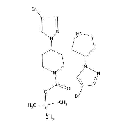 Brc1cnn(C2CCNCC2)c1.CC(C)(C)OC(=O)N1CCC(n2cc(Br)cn2)CC1